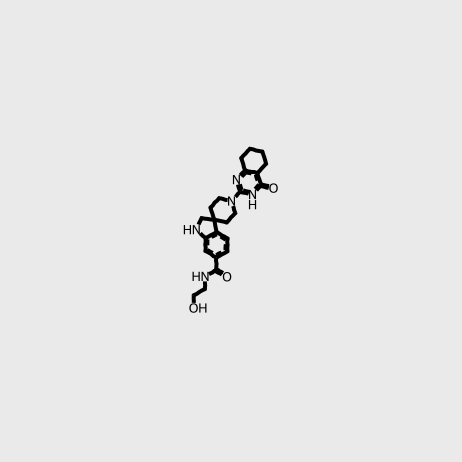 O=C(NCCO)c1ccc2c(c1)NCC21CCN(c2nc3c(c(=O)[nH]2)CCCC3)CC1